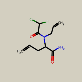 C=CCC(C(N)=O)N(CC=C)C(=O)C(Cl)Cl